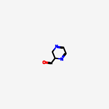 O=[C]C1CN=CC=N1